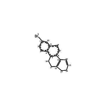 Brc1ccc2c3c(ccc2c1)C1=C(CCC=C1)CC3